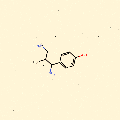 CC(CN)C(N)c1ccc(O)cc1